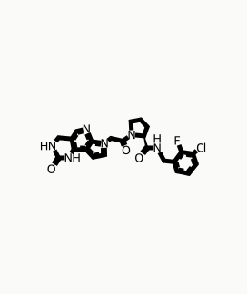 O=C1NCc2cnc3c(ccn3CC(=O)N3CCC[C@H]3C(=O)NCc3cccc(Cl)c3F)c2N1